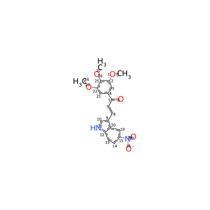 COc1cc(C(=O)C=Cc2c[nH]c3ccc([N+](=O)[O-])cc23)cc(OC)c1OC